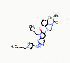 C=CCCn1cc(Nc2ncc3cc(N4CCN(C(=O)OC(C)(C)C)c5c(C)cccc54)c(=O)n(CCC=C)c3n2)cn1